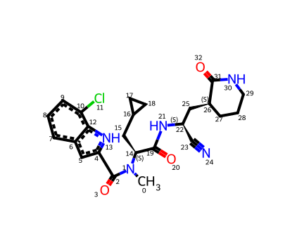 CN(C(=O)c1cc2cccc(Cl)c2[nH]1)[C@@H](CC1CC1)C(=O)N[C@H](C#N)C[C@@H]1CCCNC1=O